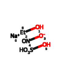 CCO.O=N[O-].O=S(=O)(O)O.[Na+]